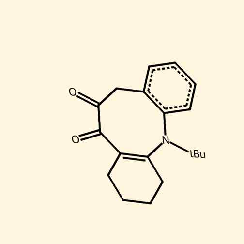 CC(C)(C)N1C2=C(CCCC2)C(=O)C(=O)Cc2ccccc21